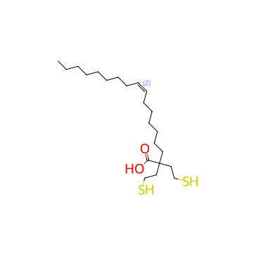 CCCCCCCC/C=C\CCCCCCC(CCS)(CCS)C(=O)O